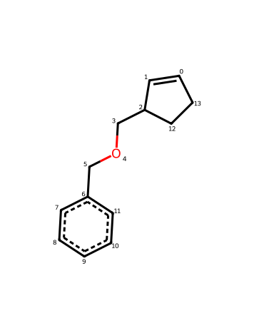 C1=CC(COCc2ccccc2)CC1